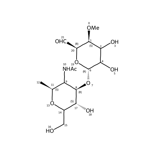 CO[C@H]1C(O)C(O)[C@H](O[C@@H]2C(NC(C)=O)[C@H](C)OC(CO)[C@H]2O)O[C@H]1C=O